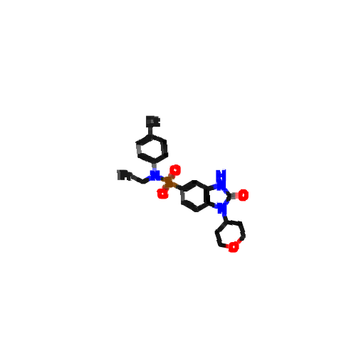 CCc1ccc(N(CC(C)C)S(=O)(=O)c2ccc3c(c2)[nH]c(=O)n3C2CCOCC2)cc1